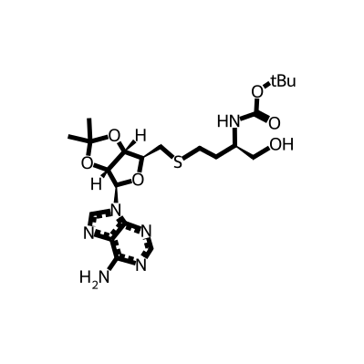 CC(C)(C)OC(=O)N[C@@H](CO)CCSC[C@H]1O[C@@H](n2cnc3c(N)ncnc32)[C@@H]2OC(C)(C)O[C@@H]21